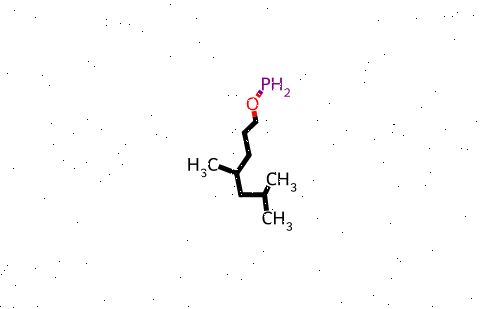 CC(C)CC(C)CCCOP